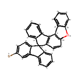 Brc1ccc2c(c1)-c1ccccc1C21c2ccccc2-c2c1ccc1oc3ccccc3c21